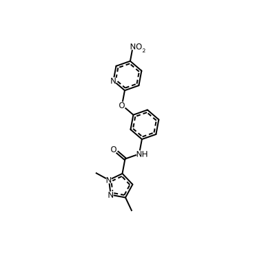 Cc1cc(C(=O)Nc2cccc(Oc3ccc([N+](=O)[O-])cn3)c2)n(C)n1